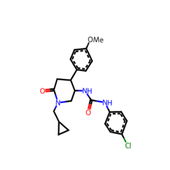 COc1ccc(C2CC(=O)N(CC3CC3)CC2NC(=O)Nc2ccc(Cl)cc2)cc1